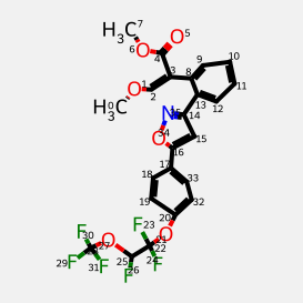 COC=C(C(=O)OC)c1ccccc1-c1cc(-c2ccc(OC(F)(F)C(F)OC(F)(F)F)cc2)on1